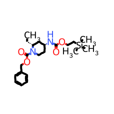 CC[C@@H]1C[C@H](NC(=O)OCC[Si](C)(C)C)CCN1C(=O)OCc1ccccc1